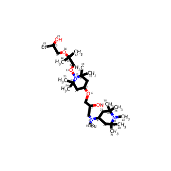 CCCCN(CC(O)COC1CC(C)(C)N(OCC(C)(C)OCC(O)CC)C(C)(C)C1)C1CC(C)(C)N(C)C(C)(C)C1